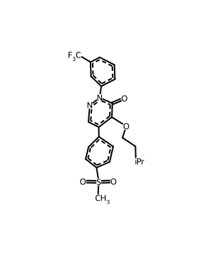 CC(C)CCOc1c(-c2ccc(S(C)(=O)=O)cc2)cnn(-c2cccc(C(F)(F)F)c2)c1=O